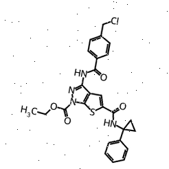 CCOC(=O)n1nc(NC(=O)c2ccc(CCl)cc2)c2cc(C(=O)NC3(c4ccccc4)CC3)sc21